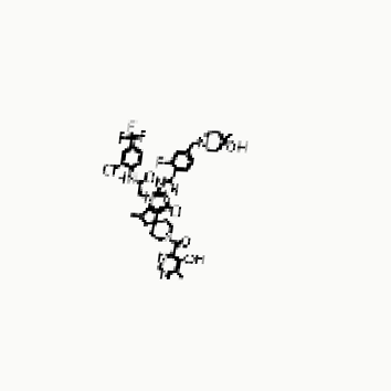 Cc1ncnc(C(=O)N2CCC3(CC2)CC(C)c2c3c(=O)n3nc(-c4ccc(CN5CCC(C)(O)CC5)cc4F)nc3n2CC(=O)Nc2ccc(C(F)(F)F)cc2Cl)c1O